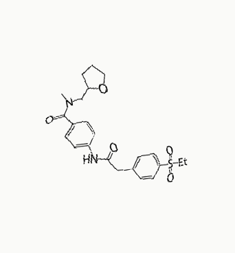 CCS(=O)(=O)c1ccc(CC(=O)Nc2ccc(C(=O)N(C)CC3CCCO3)cc2)cc1